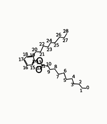 CCCCCCCCCCCC(=O)Oc1ccccc1CCCCCCCCC